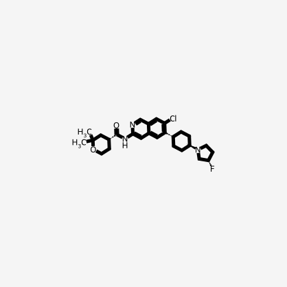 CC1(C)C[C@H](C(=O)Nc2cc3cc([C@H]4CC[C@H](N5CC[C@H](F)C5)CC4)c(Cl)cc3cn2)CCO1